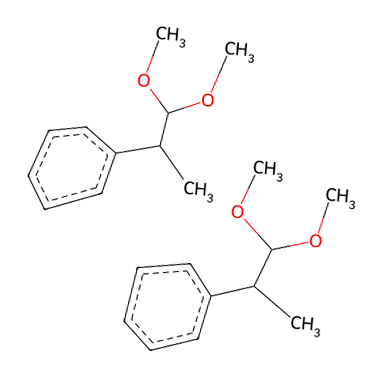 COC(OC)C(C)c1ccccc1.COC(OC)C(C)c1ccccc1